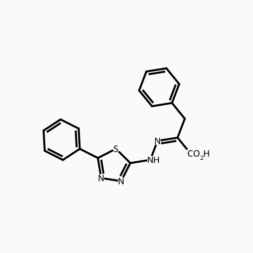 O=C(O)C(Cc1ccccc1)=NNc1nnc(-c2ccccc2)s1